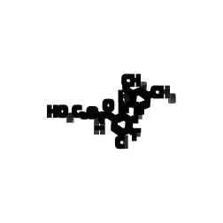 C=Cc1cc(C)cnc1Nc1c(C(=O)NOCC(=O)O)cc(Cl)c(F)c1F